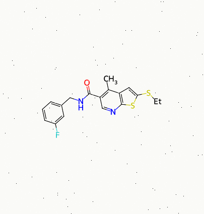 CCSc1cc2c(C)c(C(=O)NCc3cccc(F)c3)cnc2s1